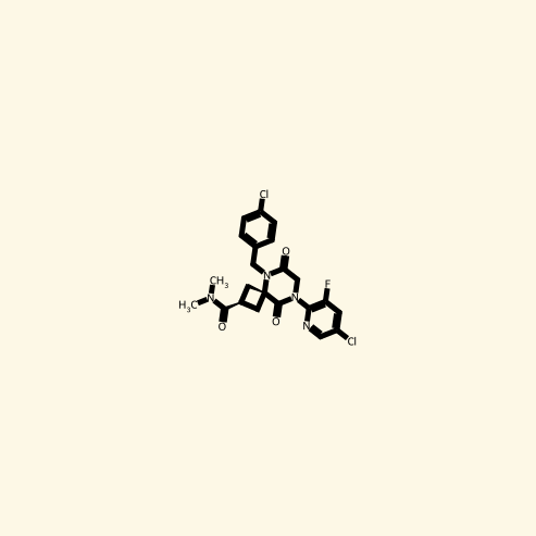 CN(C)C(=O)[C@H]1C[C@]2(C1)C(=O)N(c1ncc(Cl)cc1F)CC(=O)N2Cc1ccc(Cl)cc1